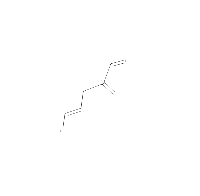 [CH2]C=CCC(=O)C=C